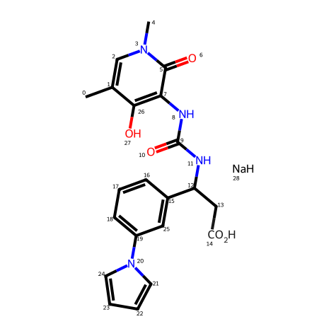 Cc1cn(C)c(=O)c(NC(=O)NC(CC(=O)O)c2cccc(-n3cccc3)c2)c1O.[NaH]